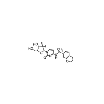 C=C(Nc1ccn(C2O[C@H](CO)[C@@H](O)C2(F)I)c(=O)n1)c1ccc2c(c1)OCCC2